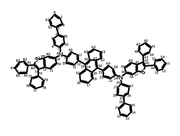 c1ccc(-c2ccc(N(c3ccc(-c4c5ccccc5c(-c5ccc(N(c6ccc(-c7ccccc7)cc6)c6ccc7c(-c8ccccc8)c(-c8ccccc8)sc7c6)cc5)c5ccccc45)cc3)c3ccc4c(-c5ccccc5)c(-c5ccccc5)sc4c3)cc2)cc1